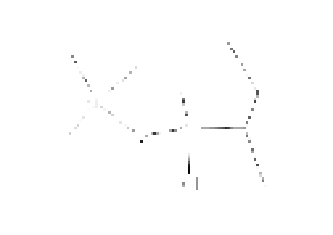 CCC(C)[Si](Cl)(Cl)N[Si](C)(C)C